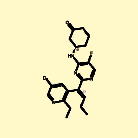 CC/C=C(/c1ncc(F)c(N[C@H]2CCCC(=O)C2)n1)c1cc(Cl)cnc1CC